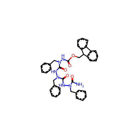 NC(=O)N(Cc1ccccc1)NC(=O)N(Cc1ccccc1)NC(=O)N(Cc1ccccc1)NC(=O)OCC1c2ccccc2-c2ccccc21